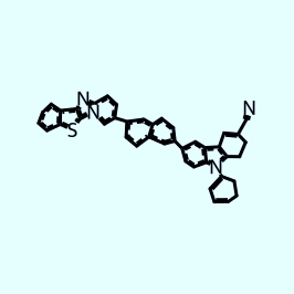 N#CC1=Cc2c(n(C3=CC=CCC3)c3ccc(-c4ccc5cc(-c6ccc7nc8c9ccccc9sc8n7c6)ccc5c4)cc23)CC1